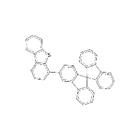 c1ccc2c(c1)-c1ccccc1C21c2ccccc2-c2cc(-c3cccc4c3sc3ccccc34)ccc21